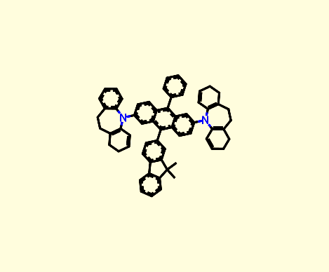 CC1(C)c2ccccc2-c2ccc(-c3c4ccc(N5C6=C(CCC=C6)CCC6=C5C=CCC6)cc4c(-c4ccccc4)c4ccc(N5C6=C(CCC=C6)CCc6ccccc65)cc34)cc21